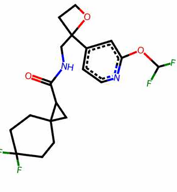 O=C(NCC1(c2ccnc(OC(F)F)c2)CCO1)C1CC12CCC(F)(F)CC2